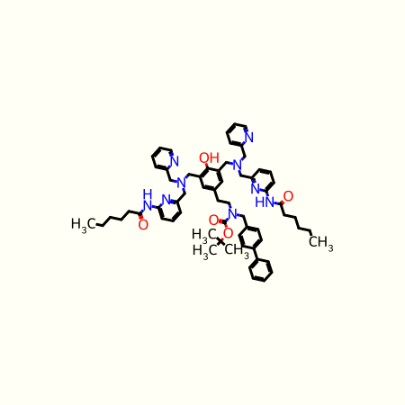 CCCCCC(=O)Nc1cccc(CN(Cc2ccccn2)Cc2cc(CCN(Cc3ccc(-c4ccccc4)cc3)C(=O)OC(C)(C)C)cc(CN(Cc3ccccn3)Cc3cccc(NC(=O)CCCCC)n3)c2O)n1